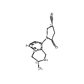 C[C@H]1Cn2ncc(N3C[C@@H](C#N)CC3=O)c2CN1